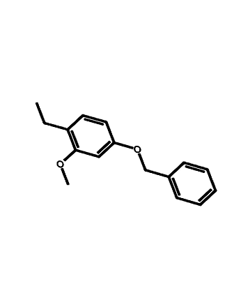 CCc1ccc(OCc2ccccc2)cc1OC